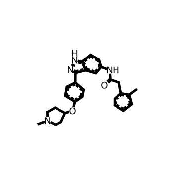 Cc1ccccc1CC(=O)Nc1ccc2[nH]nc(-c3ccc(OC4CCN(C)CC4)cc3)c2c1